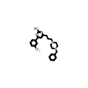 N#Cc1nc(CCCN2CCN(Cc3ccccc3)CC2)cc(-c2cccc(C(F)(F)F)c2)n1